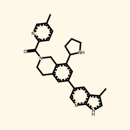 Cc1ccc(C(=O)N2CCc3cc(-c4cnc5[nH]cc(C)c5c4)cc(C4CCCN4)c3C2)nc1